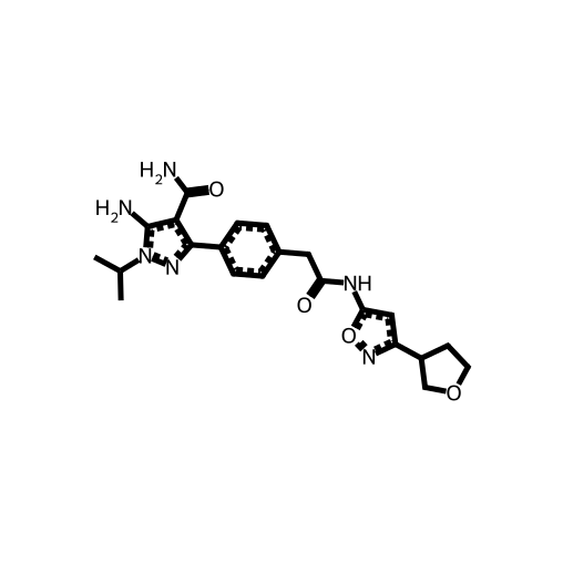 CC(C)n1nc(-c2ccc(CC(=O)Nc3cc(C4CCOC4)no3)cc2)c(C(N)=O)c1N